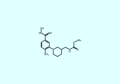 CC(C)(C)OC(=O)NCC1CCCN(c2cc(C(=N)NO)ccc2[N+](=O)[O-])C1